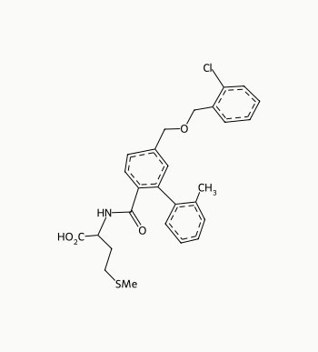 CSCCC(NC(=O)c1ccc(COCc2ccccc2Cl)cc1-c1ccccc1C)C(=O)O